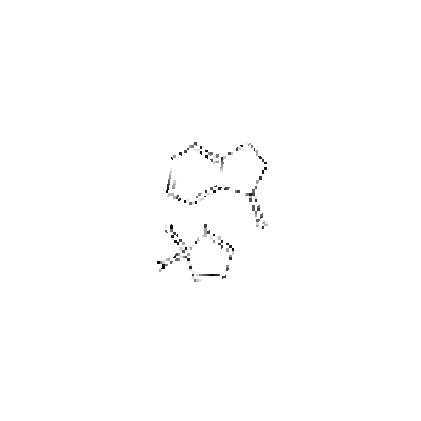 O=C1CCc2ccccc21.O=S1(=O)C=CC=N1